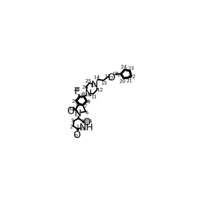 O=C1CCC(N2Cc3cc(N4CCN(CCCOCc5ccccc5)CC4)c(F)cc3C2=O)C(=O)N1